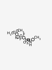 COc1cc2nccc(Oc3c(F)cc(NC(=O)C4(C(=O)Nc5ccc(C)cc5)CC4)cc3F)c2cc1OC